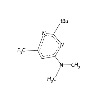 CN(C)c1cc(C(F)(F)F)nc(C(C)(C)C)n1